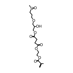 C=C(C)C(=O)OCCOC(=O)CCC(=O)OCC(O)COCCC[Si](C)=O